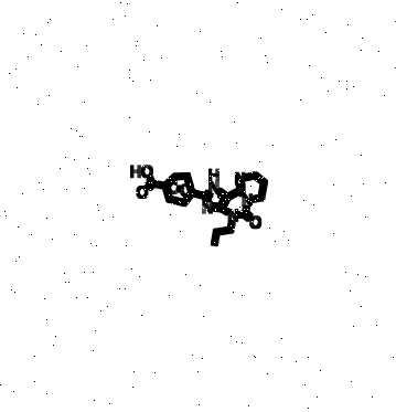 CCCN1C(=O)N2CCCN=C2c2[nH]c(C34CCC(C(=O)O)(CC3)CC4)nc21